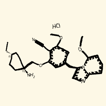 CC[C@H]1CC[C@@](N)(COc2cc(-c3cnc4cccc(OC)n34)cc(OC)c2C#N)C1.Cl